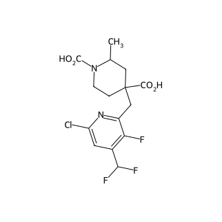 CC1CC(Cc2nc(Cl)cc(C(F)F)c2F)(C(=O)O)CCN1C(=O)O